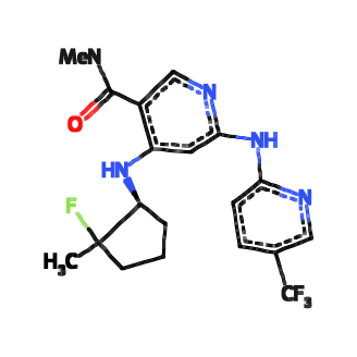 CNC(=O)c1cnc(Nc2ccc(C(F)(F)F)cn2)cc1N[C@H]1CCCC1(C)F